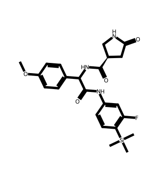 COc1ccc(C(NC(=O)[C@H]2CNC(=O)C2)C(=O)Nc2ccc([Si](C)(C)C)c(F)c2)cc1